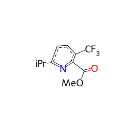 COC(=O)c1nc(C(C)C)ccc1C(F)(F)F